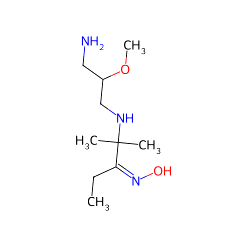 CCC(=NO)C(C)(C)NCC(CN)OC